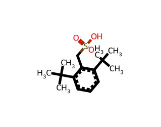 CC(C)(C)c1cccc(C(C)(C)C)c1CS(=O)(=O)O